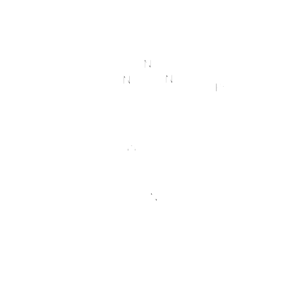 Cc1ccc2cccc(OCc3nnn(CC(C)C)c3C)c2n1